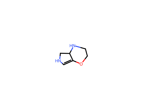 C1=C2OCCNC2CN1